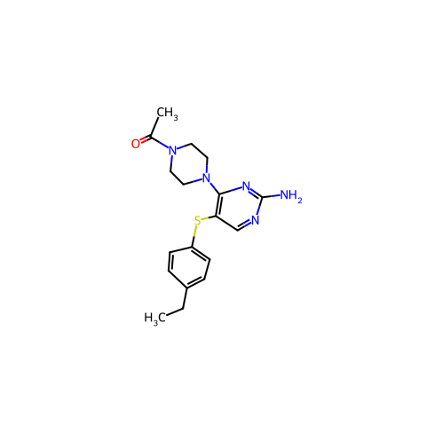 CCc1ccc(Sc2cnc(N)nc2N2CCN(C(C)=O)CC2)cc1